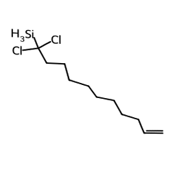 C=CCCCCCCCCC([SiH3])(Cl)Cl